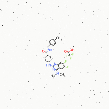 Cc1ccc(CNC(=O)[C@H]2CC[C@@H](Nc3nc(N(C)C)c4cc(F)c(F)cc4n3)CC2)cc1.O=C(O)C(F)(F)F